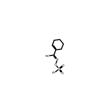 CC(C)S(=O)(=O)ON=C(C#N)C1=CCCCC1